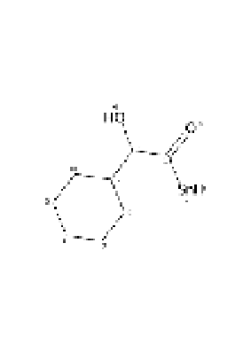 O=[C]([SnH])C(O)C1CCCCC1